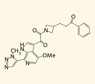 COc1cnc(-c2cnnn2C)c2[nH]cc(C(=O)C(=O)N3CC(CCC(=O)c4ccccc4)C3)c12